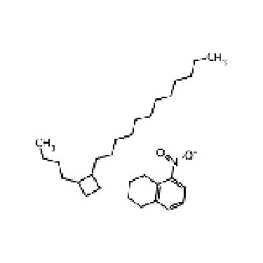 CCCCCCCCCCCCC1CCC1CCCC.O=[N+]([O-])c1cccc2c1CCCC2